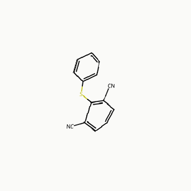 N#Cc1cccc(C#N)c1Sc1ccccc1